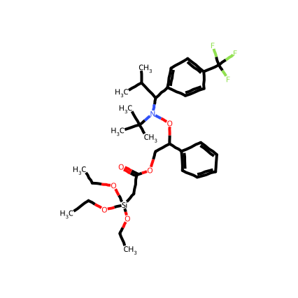 CCO[Si](CC(=O)OCC(ON(C(c1ccc(C(F)(F)F)cc1)C(C)C)C(C)(C)C)c1ccccc1)(OCC)OCC